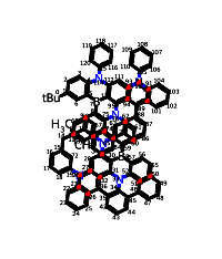 CC(C)(C)c1ccc2c(c1)B1c3cc(C(C)(C)Cc4cccc(N(c5ccccc5)c5cc6c7c(c5)N(c5c(-c8ccccc8)cccc5-c5ccccc5)c5ccccc5B7c5ccccc5N6c5ccccc5)c4)ccc3N(c3c(-c4ccccc4)cccc3-c3ccccc3)c3cc(N(c4ccccc4)c4ccccc4)cc(c31)N2c1ccccc1